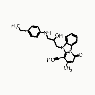 C#Cc1c(C)cc(=O)n2c3ccccc3n(CC(O)CNc3ccc(CC)cc3)c12